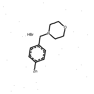 Br.[Zn][c]1ccc(CN2CCOCC2)cc1